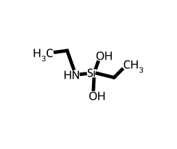 CCN[Si](O)(O)CC